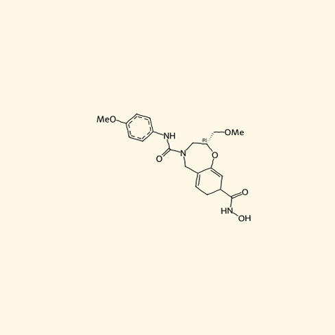 COC[C@H]1CN(C(=O)Nc2ccc(OC)cc2)CC2=CCC(C(=O)NO)C=C2O1